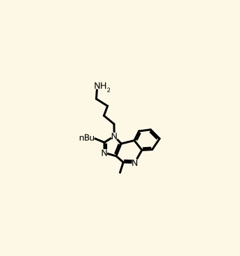 CCCCc1nc2c(C)nc3ccccc3c2n1CCCCN